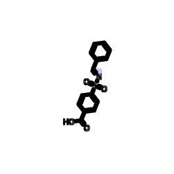 O=C(O)c1ccc(S(=O)(=O)/N=C/c2ccccc2)cc1